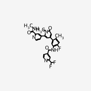 CNC(=O)c1cc(-c2cc(-c3cc(NC(=O)c4ccnc(C(F)F)c4)c(F)cc3C)cc(=O)n2C)ccn1